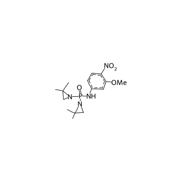 COc1cc(NP(=O)(N2CC2(C)C)N2CC2(C)C)ccc1[N+](=O)[O-]